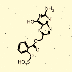 Nc1nc(O)c2nc(COC(=O)c3ccccc3OS(=O)(=O)O)cnc2n1